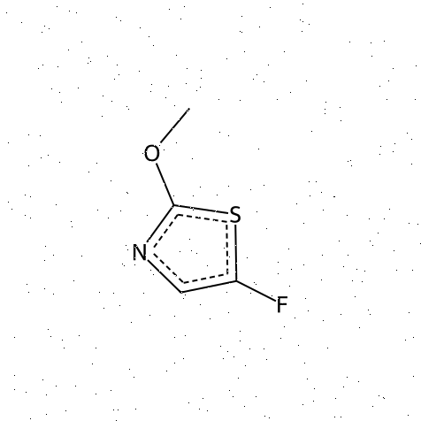 COc1ncc(F)s1